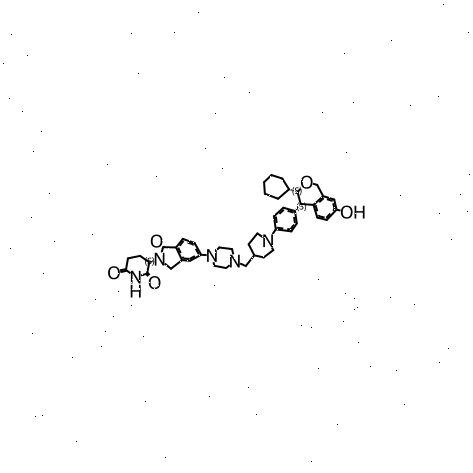 O=C1CC[C@H](N2Cc3cc(N4CCN(CC5CCN(c6ccc([C@H]7c8ccc(O)cc8CO[C@H]7C7CCCCC7)cc6)CC5)CC4)ccc3C2=O)C(=O)N1